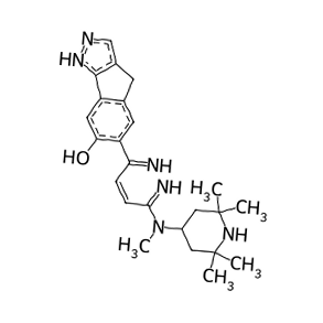 CN(C(=N)/C=C\C(=N)c1cc2c(cc1O)-c1[nH]ncc1C2)C1CC(C)(C)NC(C)(C)C1